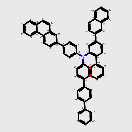 c1ccc(-c2ccc(-c3ccc(N(c4ccc(-c5ccc6c(ccc7ccccc76)c5)cc4)c4cc(-c5ccc6ccccc6c5)ccc4-c4ccccc4)cc3)cc2)cc1